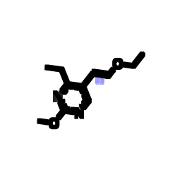 CCO/C=C/c1cnc(OC)nc1CC